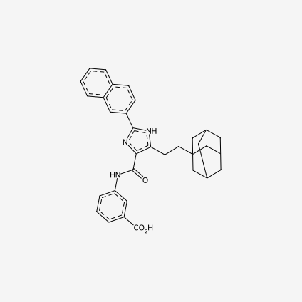 O=C(O)c1cccc(NC(=O)c2nc(-c3ccc4ccccc4c3)[nH]c2CCC23CC4CC(CC(C4)C2)C3)c1